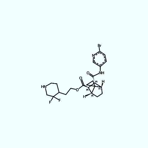 O=C(OCCC1CCNCC1(F)F)[C@H]1[C@H](C(=O)Nc2ccc(Br)nc2)[C@@H]2CC[C@H]1C21CC1